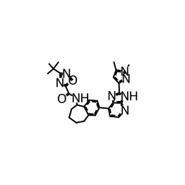 Cc1cc(-c2nc3c(-c4ccc5c(c4)CCCCC5NC(=O)c4nc(C(C)(C)C)no4)ccnc3[nH]2)nn1C